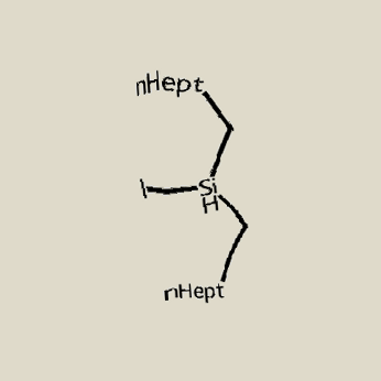 CCCCCCCC[SiH](I)CCCCCCCC